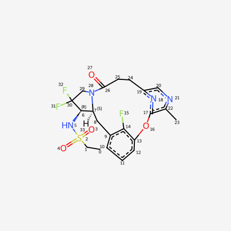 CCS(=O)(=O)N[C@@H]1[C@@H]2Cc3cccc(c3F)Oc3nc(cnc3C)CCC(=O)N2CC1(F)F